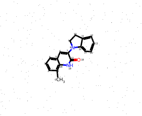 Cc1cccc2cc(N3CCc4ccccc43)c(=O)[nH]c12